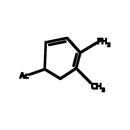 CC(=O)C1C=CC(P)=C(C)C1